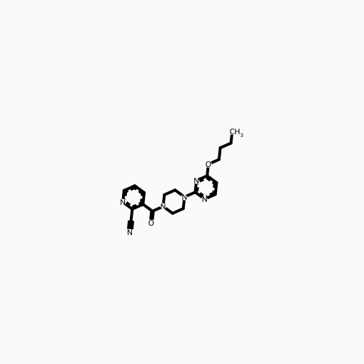 CCCCOc1ccnc(N2CCN(C(=O)c3cccnc3C#N)CC2)n1